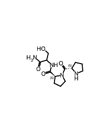 NC(=O)C(CO)NC(=O)[C@@H]1CCCN1C(=O)[C@@H]1CCCN1